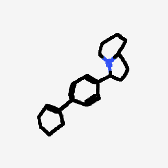 C1=C(c2ccc(C3CCC4CCCCN43)cc2)CCCC1